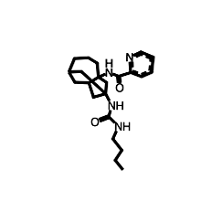 CCCCNC(=O)NC12CC3CCCC(NC(=O)c4ccccn4)(C1)C(C3)C2